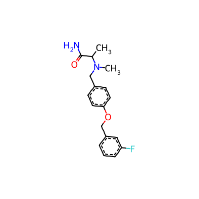 CC(C(N)=O)N(C)Cc1ccc(OCc2cccc(F)c2)cc1